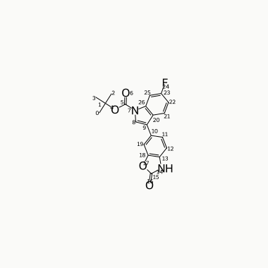 CC(C)(C)OC(=O)n1cc(-c2ccc3[nH]c(=O)oc3c2)c2ccc(F)cc21